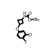 CC(C)(C)OC(=O)NC1CC(Oc2ccc(F)c(Cl)c2)C1